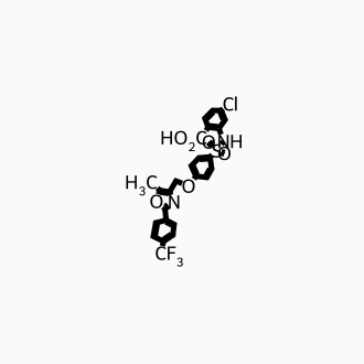 Cc1oc(-c2ccc(C(F)(F)F)cc2)nc1COc1ccc(S(=O)(=O)Nc2cc(Cl)ccc2C(=O)O)cc1